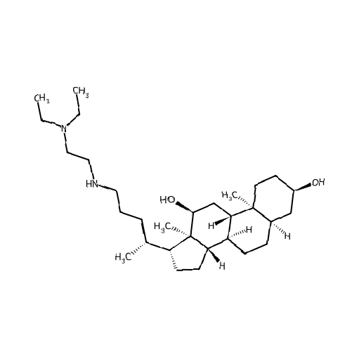 CCN(CC)CCNCCC[C@@H](C)[C@H]1CC[C@H]2[C@@H]3CC[C@@H]4C[C@H](O)CC[C@]4(C)[C@H]3C[C@H](O)[C@]12C